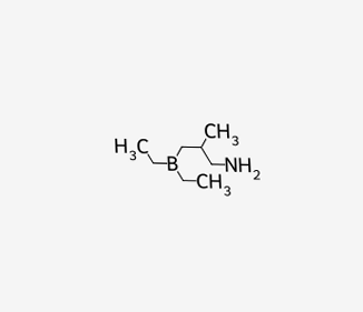 CCB(CC)CC(C)CN